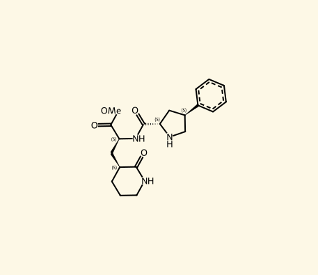 COC(=O)[C@H](C[C@@H]1CCCNC1=O)NC(=O)[C@@H]1C[C@@H](c2ccccc2)CN1